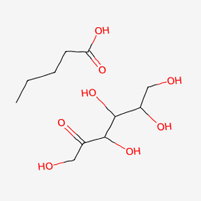 CCCCC(=O)O.O=C(CO)C(O)C(O)C(O)CO